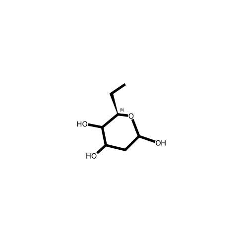 CC[C@H]1OC(O)CC(O)C1O